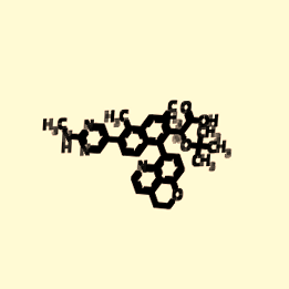 CNc1ncc(-c2ccc3c(-c4ccc5c6c(ccnc46)CCO5)c([C@H](OC(C)(C)C)C(=O)O)c(C)cc3c2C)cn1